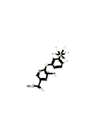 COC(=O)c1cnc(Oc2cccc(S(F)(F)(F)(F)F)c2)c(Br)c1